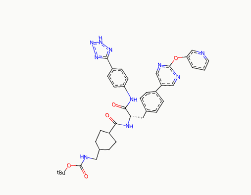 CC(C)(C)OC(=O)NCC1CCC(C(=O)N[C@@H](Cc2ccc(-c3cnc(Oc4cccnc4)nc3)cc2)C(=O)Nc2ccc(-c3nn[nH]n3)cc2)CC1